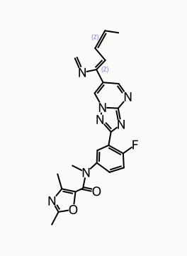 C=N/C(=C\C=C/C)c1cnc2nc(-c3cc(N(C)C(=O)c4oc(C)nc4C)ccc3F)nn2c1